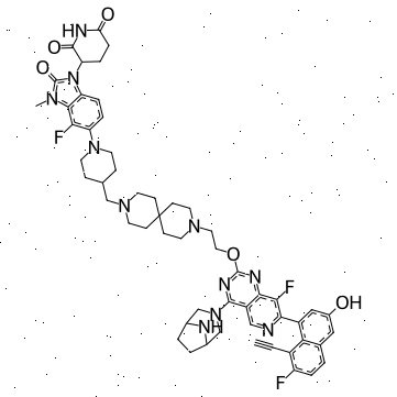 C#Cc1c(F)ccc2cc(O)cc(-c3ncc4c(N5CC6CCC(C5)N6)nc(OCCN5CCC6(CC5)CCN(CC5CCN(c7ccc8c(c7F)n(C)c(=O)n8C7CCC(=O)NC7=O)CC5)CC6)nc4c3F)c12